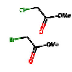 COC(=O)CBr.COC(=O)CCl